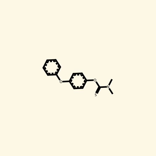 CN(C)C(=S)Oc1ccc(Oc2ccccc2)cc1